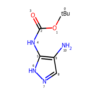 CC(C)(C)OC(=O)Nc1[nH]ncc1N